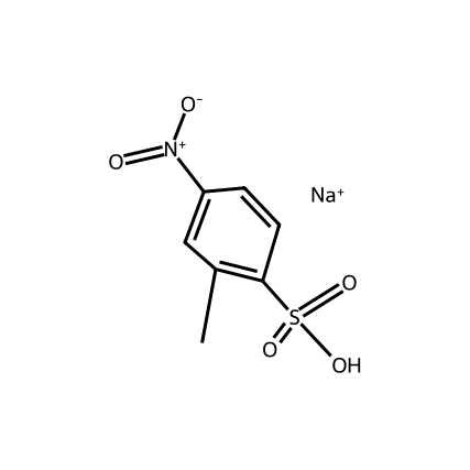 Cc1cc([N+](=O)[O-])ccc1S(=O)(=O)O.[Na+]